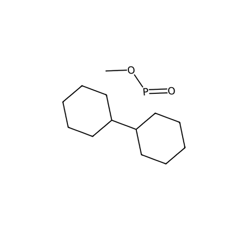 C1CCC(C2CCCCC2)CC1.COP=O